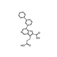 O=C(O)CCn1c(C(=O)O)cc2c(-c3cccc(-c4ccccc4)c3)cncc21